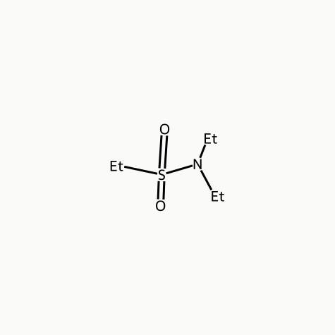 [CH2]CS(=O)(=O)N(CC)CC